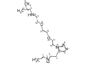 CCNCCc1cnnn1CCOCCOCCNCC(C)C